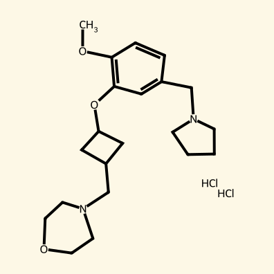 COc1ccc(CN2CCCC2)cc1OC1CC(CN2CCOCC2)C1.Cl.Cl